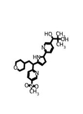 CC(C)(O)C(O)c1ccc(C2CC=C(C(CC3CCOCC3)c3ccc(S(C)(=O)=O)cn3)N2)nc1